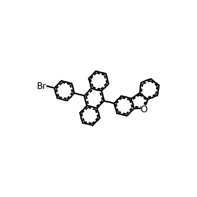 Brc1ccc(-c2c3ccccc3c(-c3ccc4oc5ccccc5c4c3)c3ccccc23)cc1